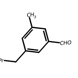 Cc1cc(C=O)cc(CC(C)C)c1